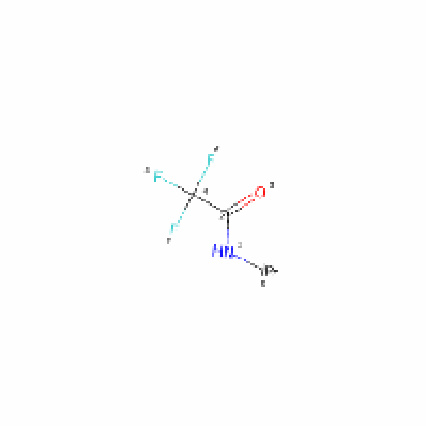 [CH2]C(C)NC(=O)C(F)(F)F